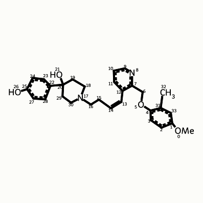 COc1ccc(OCc2ncccc2/C=C\CCN2CCC(O)(c3ccc(O)cc3)CC2)c(C)c1